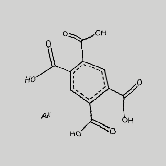 O=C(O)c1cc(C(=O)O)c(C(=O)O)cc1C(=O)O.[Al]